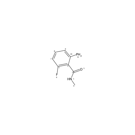 CNC(=O)c1c(F)cccc1P